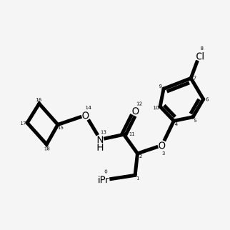 CC(C)CC(Oc1ccc(Cl)cc1)C(=O)NOC1CCC1